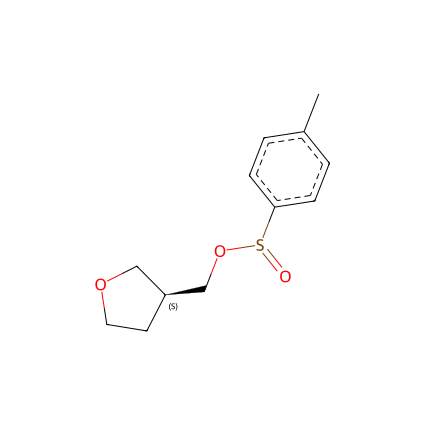 Cc1ccc(S(=O)OC[C@H]2CCOC2)cc1